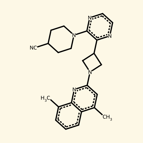 Cc1cc(N2CC(c3nccnc3N3CCC(C#N)CC3)C2)nc2c(C)cccc12